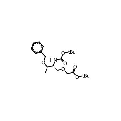 C[C@@H](OCc1ccccc1)[C@@H](COCC(=O)OC(C)(C)C)NC(=O)OC(C)(C)C